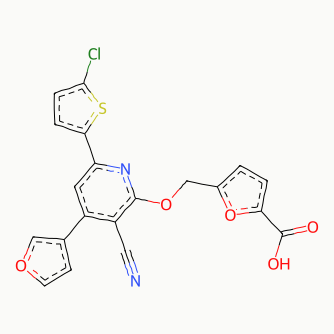 N#Cc1c(-c2ccoc2)cc(-c2ccc(Cl)s2)nc1OCc1ccc(C(=O)O)o1